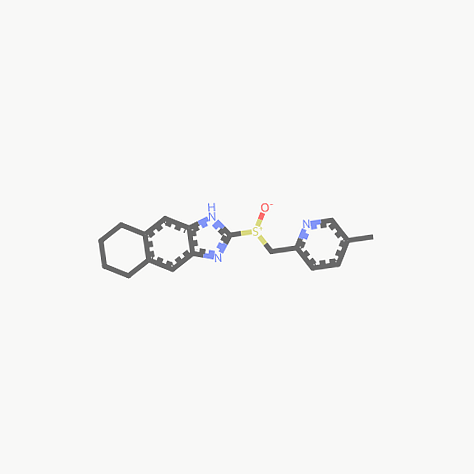 Cc1ccc(C[S+]([O-])c2nc3cc4c(cc3[nH]2)CCCC4)nc1